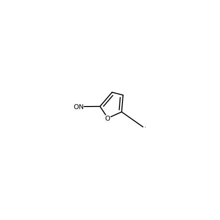 [CH2]c1ccc(N=O)o1